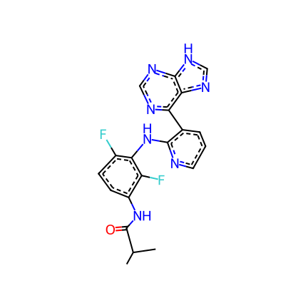 CC(C)C(=O)Nc1ccc(F)c(Nc2ncccc2-c2ncnc3[nH]cnc23)c1F